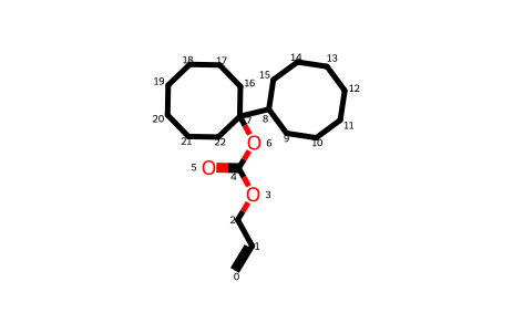 C=CCOC(=O)OC1(C2CCCCCCC2)CCCCCCC1